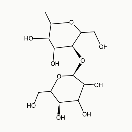 CC1OC(CO)[C@@H](O[C@@H]2OC(CO)[C@H](O)C(O)C2O)C(O)C1O